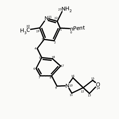 CCCCCc1cc(Cc2ccc(CN3CC4(COC4)C3)cc2)c(C)nc1N